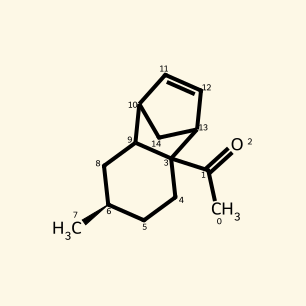 CC(=O)C12CC[C@@H](C)CC1C1C=CC2C1